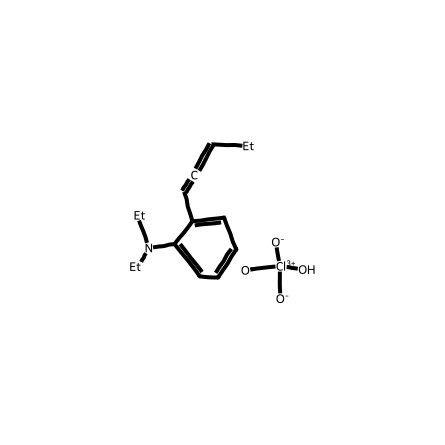 CCC=C=Cc1ccccc1N(CC)CC.[O-][Cl+3]([O-])([O-])O